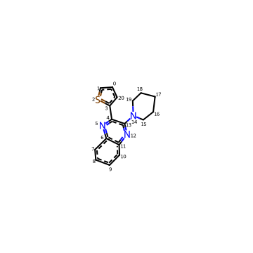 c1csc(-c2nc3ccccc3nc2N2CCCCC2)c1